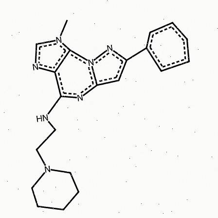 Cn1cnc2c(NCCN3CCCCC3)nc3cc(-c4ccccc4)nn3c21